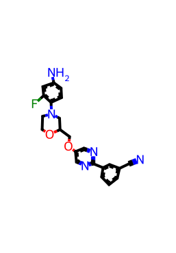 N#Cc1cccc(-c2ncc(OCC3CN(c4ccc(N)cc4F)CCO3)cn2)c1